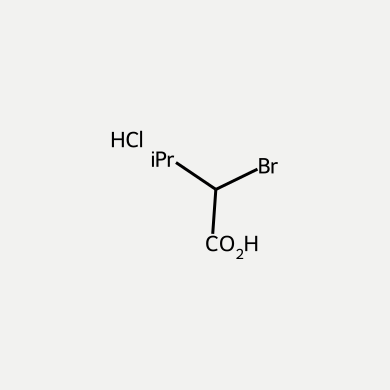 CC(C)C(Br)C(=O)O.Cl